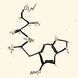 COc1cc2c(cc1CC(C)NC(=O)C(N)CC(=O)O)OCO2